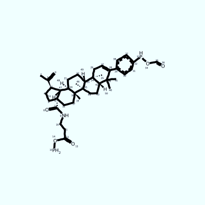 C=C(C)[C@@H]1CC[C@]2(C(=O)NCCC(=O)OP)CC[C@]3(C)[C@H](CC[C@@H]4[C@@]5(C)CC=C(c6ccc(POC=O)cc6)C(C)(C)[C@@H]5CC[C@]43C)[C@@H]12